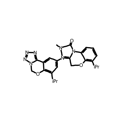 CC(C)c1cc(-[n+]2c3n(c(=O)n2C)-c2cccc(C(C)C)c2OC3)cc2c1OCn1nnnc1-2